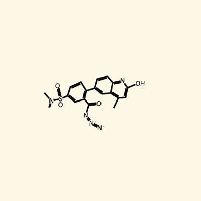 Cc1cc(O)nc2ccc(-c3ccc(S(=O)(=O)N(C)C)cc3C(=O)N=[N+]=[N-])cc12